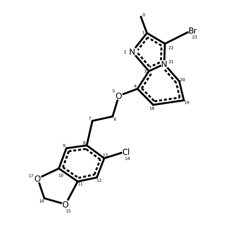 Cc1nc2c(OCCc3cc4c(cc3Cl)OCO4)cccn2c1Br